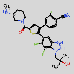 CN[C@@H]1CCCN(C(=O)c2cc(-c3ccc(C#N)c(F)c3)c(-c3cc4c(c(F)c3F)N(CC(C)(C)O)NN4)s2)C1